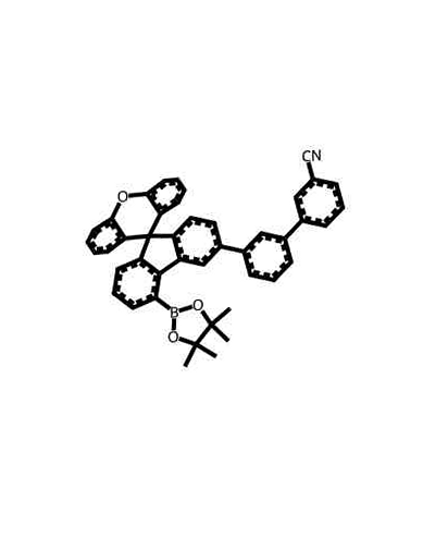 CC1(C)OB(c2cccc3c2-c2cc(-c4cccc(-c5cccc(C#N)c5)c4)ccc2C32c3ccccc3Oc3ccccc32)OC1(C)C